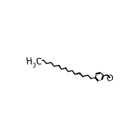 CCCCCCCCCCCCCCCc1ccc(C=O)cc1